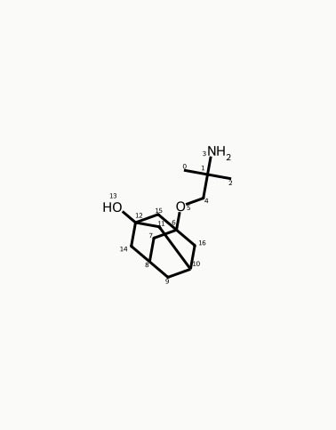 CC(C)(N)COC12CC3CC(CC(O)(C3)C1)C2